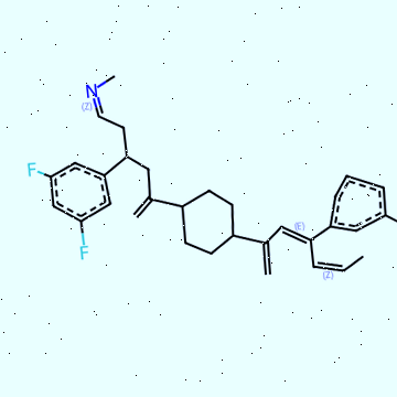 C=C(/C=C(\C=C/C)c1cccc(C)c1)C1CCC(C(=C)CC(C/C=N\C)c2cc(F)cc(F)c2)CC1